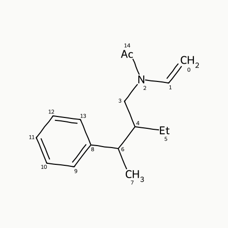 C=CN(CC(CC)C(C)c1ccccc1)C(C)=O